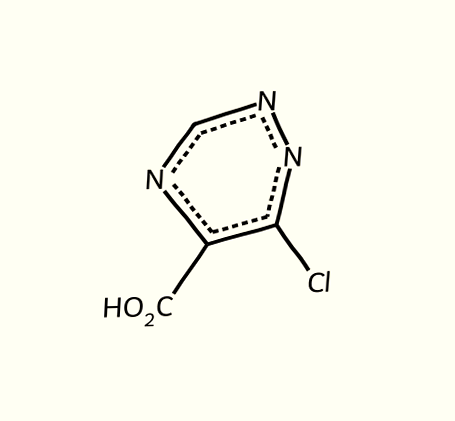 O=C(O)c1ncnnc1Cl